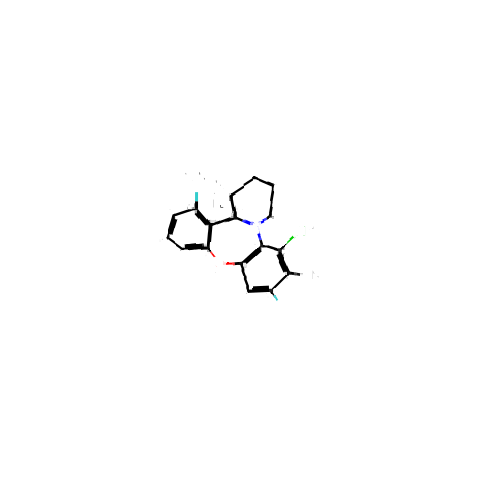 CC(=O)N[C@@H]1CCCN2c3c(cc(F)c(C#N)c3Cl)Oc3cccc(F)c3[C@@H]12